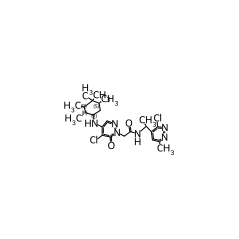 Cc1cc(C(C)NC(=O)Cn2ncc(N[C@@H]3C[C@H](C)C(C)(C)[C@H](C)[C@H]3C)c(Cl)c2=O)c(Cl)nn1